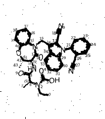 CCN(C(=O)O)[C@@H](C)C(=O)N[C@@H]1C(=O)N(Cc2c(C#N)n(-c3ccccc3C#N)c3ccccc23)c2ccccc2O[C@H]1C